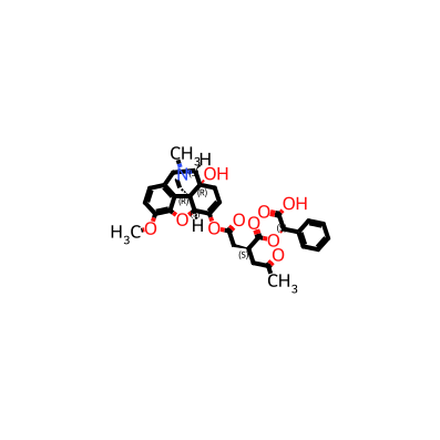 COc1ccc2c3c1O[C@@H]1C(OC(=O)C[C@H](CC(C)=O)C(=O)O[C@H](C(=O)O)c4ccccc4)=CC[C@]4(O)[C@H](C2)N(C)CC[C@@]314